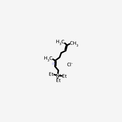 CC[N+](CC)(CC)C/C=C(/C)CCC=C(C)C.[Cl-]